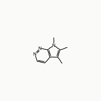 Cc1c(C)n(C)c2nnccc12